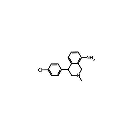 CN1Cc2c(N)cccc2C(c2ccc(Cl)cc2)C1